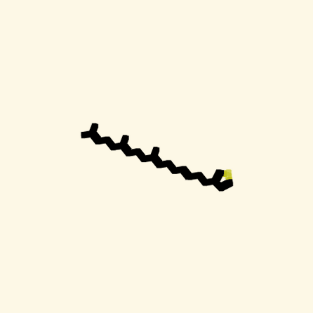 CC(C)=CCC/C(C)=C/CC/C(C)=C/CC/C=C/CCc1ccsc1